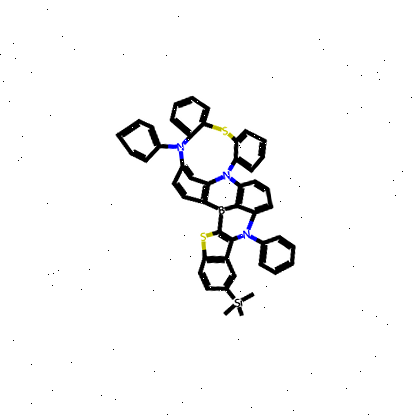 C[Si](C)(C)c1ccc2sc3c(c2c1)N(c1ccccc1)c1cccc2c1B3c1ccc3cc1N2c1ccccc1Sc1ccccc1N3c1ccccc1